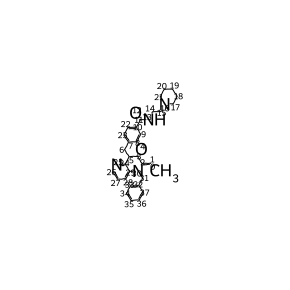 C/C=C1/C(=O)C(Cc2ccc(C(=O)NCCN3CCCCC3)cc2)c2ncccc2N1Cc1ccccc1